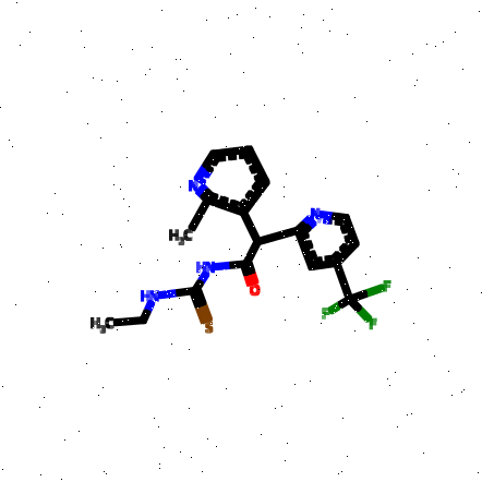 CCNC(=S)NC(=O)C(c1cc(C(F)(F)F)ccn1)c1cccnc1C